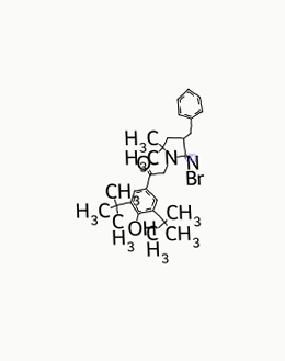 CC(C)(C)c1cc(C(=O)CN2/C(=N\Br)C(Cc3ccccc3)CC2(C)C)cc(C(C)(C)C)c1O